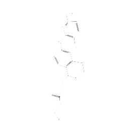 COc1ccc([N+](=O)[O-])c(Nc2ccc3c(c2)CCCC3COC(=O)NCC(C)C)n1